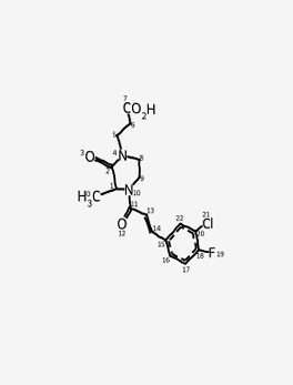 CC1C(=O)N(CCC(=O)O)CCN1C(=O)C=Cc1ccc(F)c(Cl)c1